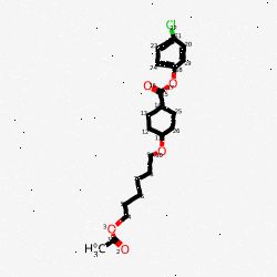 CC(=O)OCCCCCCOC1CCC(C(=O)Oc2ccc(Cl)cc2)CC1